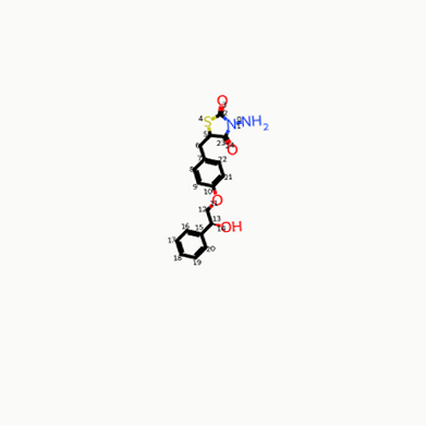 NN1C(=O)SC(Cc2ccc(OC[C@@H](O)c3ccccc3)cc2)C1=O